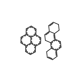 C1=CCc2c3c(ccc2=C1)=C1CCC=CC1=CC3.c1cc2ccc3cccc4ccc(c1)c2c34